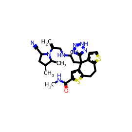 C=C(CN[C@H](C)CC1(c2nn[nH]n2)c2ccsc2CCc2sc(C(=O)NC)cc21)N1C(C#N)C[C@H](C)C1C